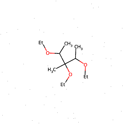 CCOC(C)C(C)(OCC)C(C)OCC